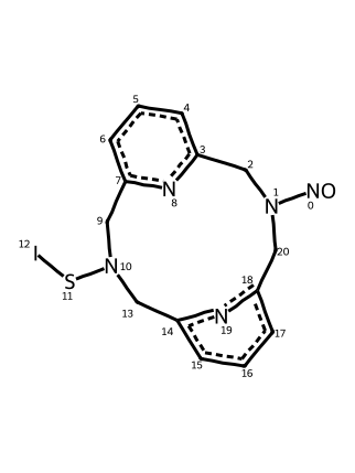 O=NN1Cc2cccc(n2)CN(SI)Cc2cccc(n2)C1